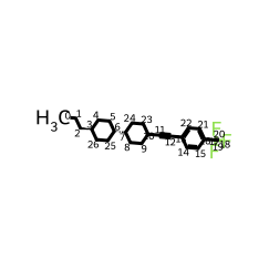 CCC[C@H]1CC[C@H](C2CCC(C#Cc3ccc(C(F)(F)F)cc3)CC2)CC1